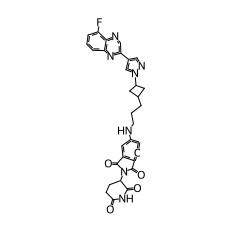 O=C1CCC(N2C(=O)c3ccc(NCCCC4CC(n5cc(-c6cnc7c(F)cccc7n6)cn5)C4)cc3C2=O)C(=O)N1